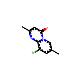 Cc1cc(Br)c2nc(C)cc(=O)n2c1